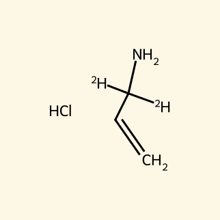 Cl.[2H]C([2H])(N)C=C